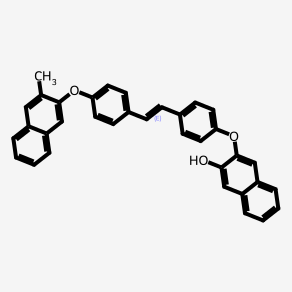 Cc1cc2ccccc2cc1Oc1ccc(/C=C/c2ccc(Oc3cc4ccccc4cc3O)cc2)cc1